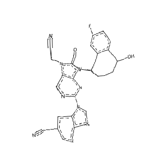 N#CCn1c(=O)n(C2CCC(O)c3ccc(F)cc32)c2nc(-n3cnc4ccc(C#N)cc43)ncc21